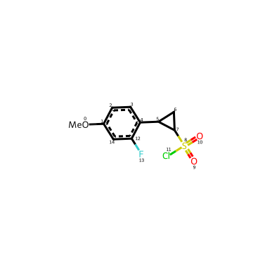 COc1ccc(C2CC2S(=O)(=O)Cl)c(F)c1